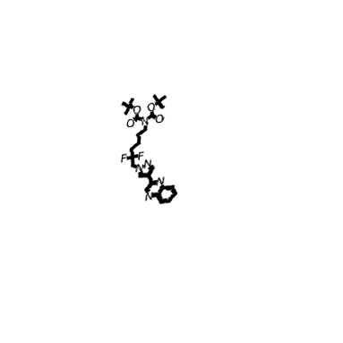 CC(C)(C)OC(=O)N(CCCCC(F)(F)Cn1cc(-c2cnc3ccccc3n2)cn1)C(=O)OC(C)(C)C